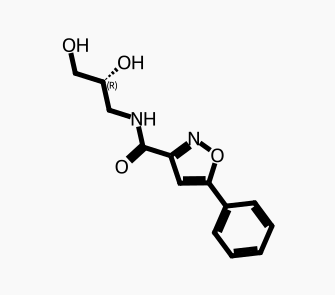 O=C(NC[C@@H](O)CO)c1cc(-c2ccccc2)on1